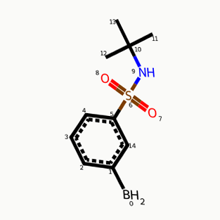 Bc1cccc(S(=O)(=O)NC(C)(C)C)c1